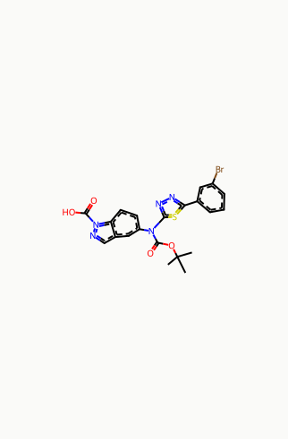 CC(C)(C)OC(=O)N(c1ccc2c(cnn2C(=O)O)c1)c1nnc(-c2cccc(Br)c2)s1